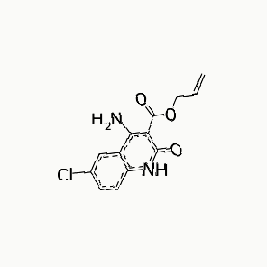 C=CCOC(=O)c1c(N)c2cc(Cl)ccc2[nH]c1=O